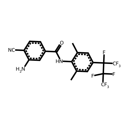 Cc1cc(C(F)(C(F)(F)F)C(F)(F)C(F)(F)F)cc(C)c1NC(=O)c1ccc(C#N)c(N)c1